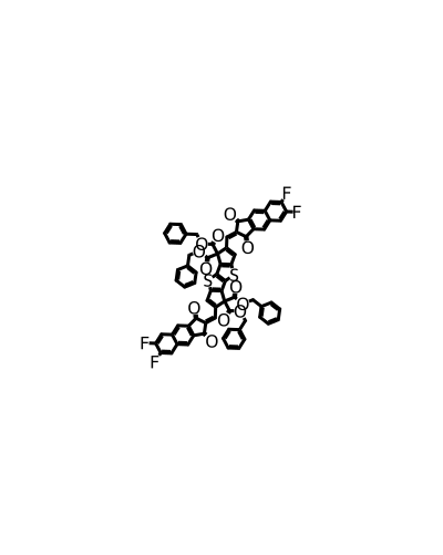 O=C1C(=CC2=Cc3sc4c5c(sc4c3C2(C(=O)OCc2ccccc2)C(=O)OCc2ccccc2)C=C(C=C2C(=O)c3cc4cc(F)c(F)cc4cc3C2=O)C5(C(=O)OCc2ccccc2)C(=O)OCc2ccccc2)C(=O)c2cc3cc(F)c(F)cc3cc21